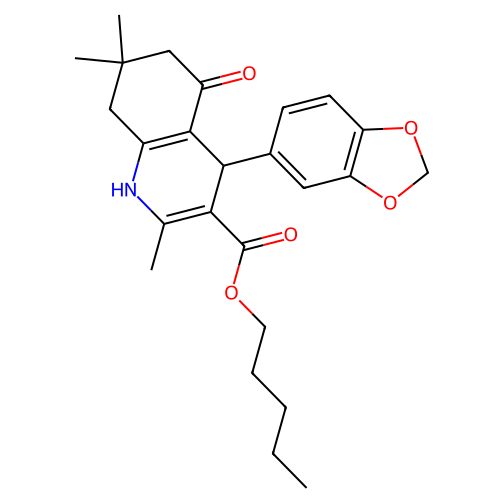 CCCCCOC(=O)C1=C(C)NC2=C(C(=O)CC(C)(C)C2)C1c1ccc2c(c1)OCO2